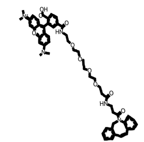 CN(C)c1ccc2c(-c3cc(C(=O)NCCOCCOCCOCCOCCC(=O)NCCC(=O)N4Cc5ccccc5/C=C\c5ccccc54)ccc3C(=O)O)c3ccc(=[N+](C)C)cc-3oc2c1